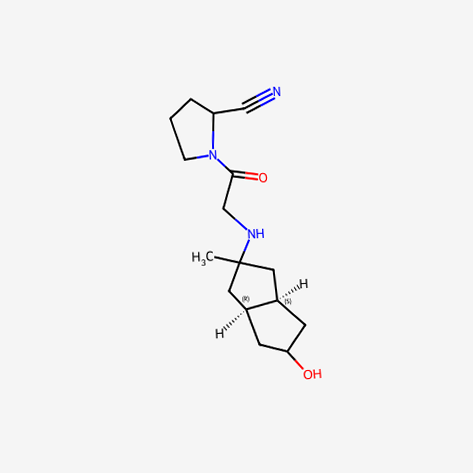 CC1(NCC(=O)N2CCCC2C#N)C[C@H]2CC(O)C[C@H]2C1